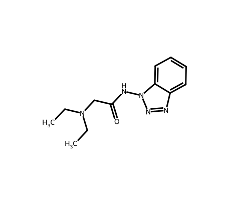 CCN(CC)CC(=O)Nn1nnc2ccccc21